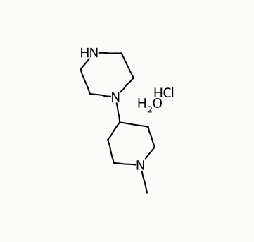 CN1CCC(N2CCNCC2)CC1.Cl.O